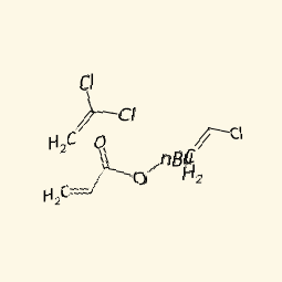 C=C(Cl)Cl.C=CC(=O)OCCCC.C=CCl